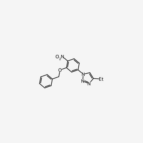 CCc1cn(-c2ccc([N+](=O)[O-])c(OCc3ccccc3)c2)nn1